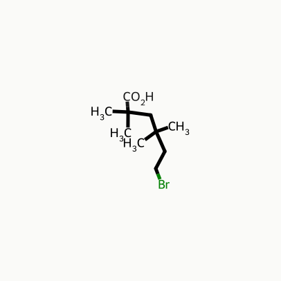 CC(C)(CCBr)CC(C)(C)C(=O)O